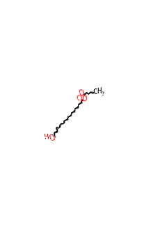 CCCCCC(=O)OC(=O)CCCCCCCCCCCCCCCCCO